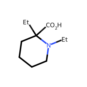 CCN1CCCCC1(CC)C(=O)O